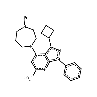 CC(C)N1CCCN(c2cc(C(=O)O)nc3c2c(C2CCC2)nn3-c2ccccc2)CC1